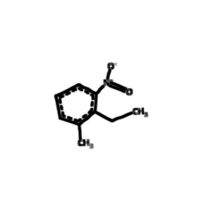 CCc1c(C)cccc1[N+](=O)[O-]